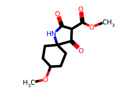 COC(=O)C1C(=O)NC2(CCC(OC)CC2)C1=O